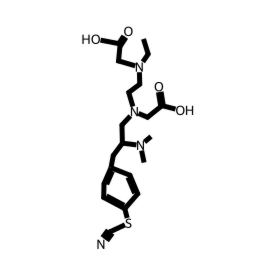 CCN(CCN(CC(=O)O)CC(Cc1ccc(SC#N)cc1)N(C)C)CC(=O)O